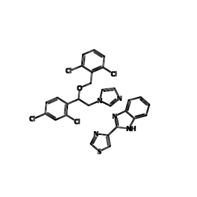 Clc1ccc(C(Cn2ccnc2)OCc2c(Cl)cccc2Cl)c(Cl)c1.c1ccc2[nH]c(-c3cscn3)nc2c1